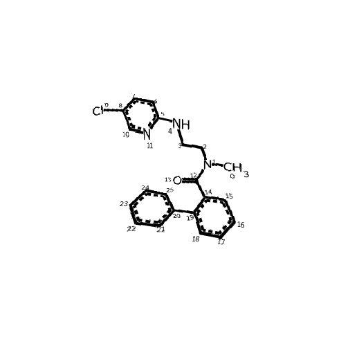 CN(CCNc1ccc(Cl)cn1)C(=O)c1ccccc1-c1ccccc1